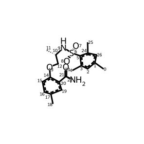 Cc1cc(C)c(S(=O)(=O)N[C@@H](C)COc2ccc(C)cc2C(N)=O)c(C)c1